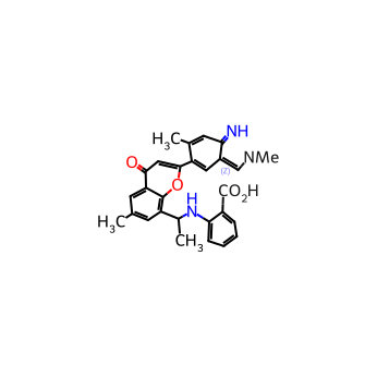 CN/C=C1/C=C(c2cc(=O)c3cc(C)cc(C(C)Nc4ccccc4C(=O)O)c3o2)C(C)=CC1=N